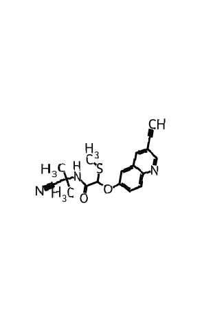 C#Cc1cnc2ccc(OC(SC)C(=O)NC(C)(C)C#N)cc2c1